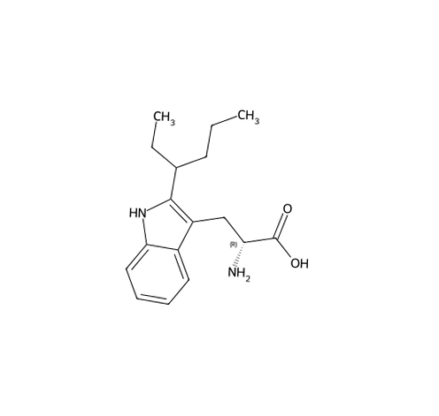 CCCC(CC)c1[nH]c2ccccc2c1C[C@@H](N)C(=O)O